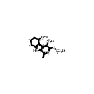 CCOC(=O)Oc1nc(C)c2[nH]c3c(c2c1OC)C(OC)CCC3